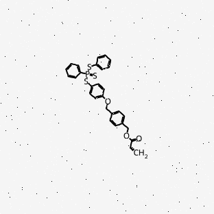 C=CC(=O)OCc1ccc(COc2ccc(SP(=S)(Sc3ccccc3)c3ccccc3)cc2)cc1